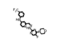 Fc1cnc(N/N=C\c2cc(Nc3cccc(C(F)(F)F)c3)ccn2)nc1N1CCOCC1